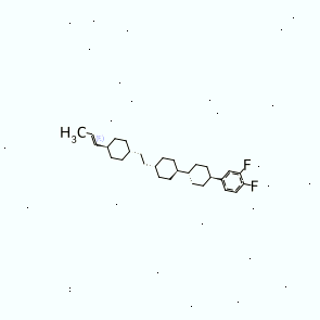 C/C=C/[C@H]1CC[C@H](CC[C@H]2CC[C@H]([C@H]3CC[C@H](c4ccc(F)c(F)c4)CC3)CC2)CC1